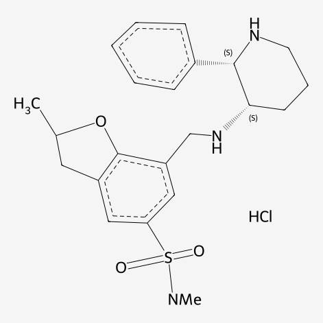 CNS(=O)(=O)c1cc(CN[C@H]2CCCN[C@H]2c2ccccc2)c2c(c1)CC(C)O2.Cl